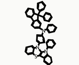 C1=Cc2c3c(n(-c4ccccc4)c2CC1)N(c1ccc(N(c2ccccc2)c2ccc4c(c2)C(c2ccccc2)(c2ccccc2)c2ccccc2-4)cc1)c1ccccc1S3